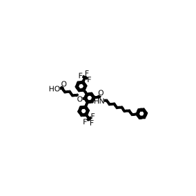 O=C(O)CCCCOc1c(-c2cccc(C(F)(F)F)c2)cc(C(=O)NCCCCCCCCc2ccccc2)cc1-c1cccc(C(F)(F)F)c1